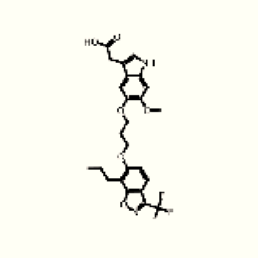 CCCc1c(OCCCOc2cc3c(CC(=O)O)c[nH]c3cc2OC)ccc2c(C(F)(F)F)noc12